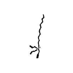 C#CC[N+](CC=C)(CC=C)CCCCCCCCCCCC